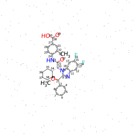 CO[C@H](c1ccccc1)c1nc2cc(F)c(F)cc2n1[C@@H](C(=O)Nc1ccc(C(=O)O)cc1C)C1CCCCC1